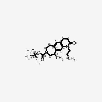 CCCN1C(=O)CCc2cc3c(cc21)C(C)CN(C(=O)OC(C)(C)C)CC3